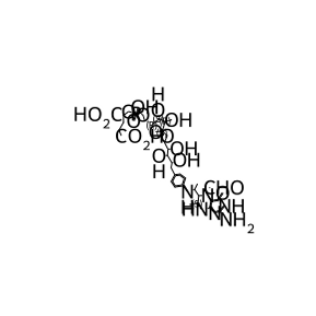 CC(Nc1ccc(CC(O)C(O)C(O)CO[C@H]2O[C@H](COP(=O)(O)OC(CCC(=O)O)C(=O)O)[C@@H](O)[C@H]2O)cc1)C1[C@H](C)Nc2nc(N)[nH]c(=O)c2N1C=O